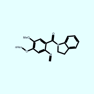 C=Nc1cc(OCCCCCC)c(OC)cc1C(=O)N1CCc2ccccc21